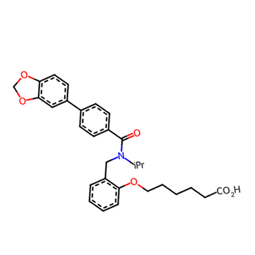 CC(C)N(Cc1ccccc1OCCCCCC(=O)O)C(=O)c1ccc(-c2ccc3c(c2)OCO3)cc1